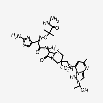 CC1=NC2=CN(C(C)O)NN2C(SCC2(C(=O)O)CS[C@@H]3C(NC(=O)C(=NOC(C)(C)C(=O)NN)c4csc(N)n4)C(=O)N3C2)=C1